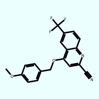 COc1ccc(COc2cc(C#N)nc3ccc(C(F)(F)F)cc23)cc1